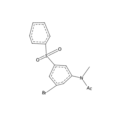 CC(=O)N(C)c1cc(Br)cc(S(=O)(=O)c2ccccc2)c1